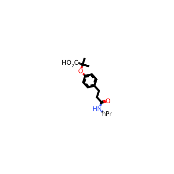 CCCNC(=O)CCc1ccc(OC(C)(C)C(=O)O)cc1